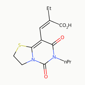 CCCn1c(=O)c(C=C(CC)C(=O)O)c2n(c1=O)CCS2